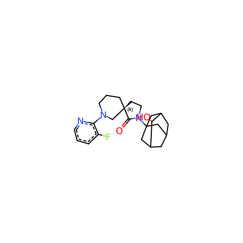 O=C1N(C23CC4CC(C2)C(O)C(C4)C3)CC[C@@]12CCCN(c1ncccc1F)C2